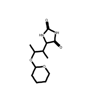 CC(OC1CCCCO1)C(C)C1NC(=O)NC1=O